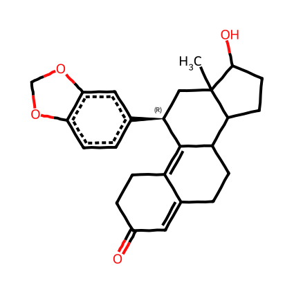 CC12C[C@H](c3ccc4c(c3)OCO4)C3=C4CCC(=O)C=C4CCC3C1CCC2O